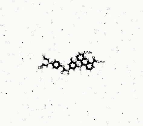 CNC(=O)c1cccc2c(Nc3cc(C)cc(NC(=O)Oc4ccc(N(CCCl)CCCl)cc4)c3)c3cccc(OC)c3nc12